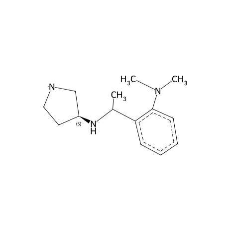 CC(N[C@H]1CC[N]C1)c1ccccc1N(C)C